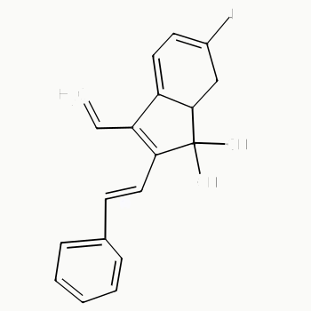 C=CC1=C(/C=C/c2ccccc2)C(C)(C)C2CC(I)=CC=C12